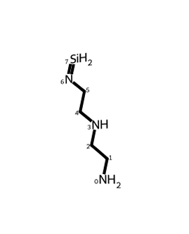 NCCNCCN=[SiH2]